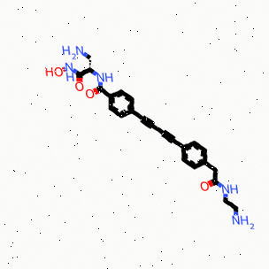 NCCNC(=O)Cc1ccc(C#CC#Cc2ccc(C(=O)N[C@@H](CN)C(=O)NO)cc2)cc1